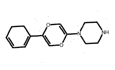 C1=CCCC(C2=COC(N3CCNCC3)=CO2)=C1